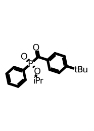 CC(C)OP(=O)(C(=O)c1ccc(C(C)(C)C)cc1)c1ccccc1